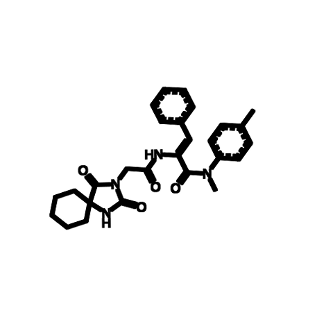 Cc1ccc(N(C)C(=O)C(=Cc2ccccc2)NC(=O)CN2C(=O)NC3(CCCCC3)C2=O)cc1